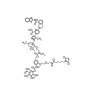 Cc1c(-c2ccc(N3CCc4cccc(C(=O)Nc5nc6ccccc6s5)c4C3)nc2C(=O)O)cnn1CC12CC3(C)CC(C)(C1)CC(OCCN(C)C(=O)OCc1ccc(NC(=O)O[C@@H]4O[C@H](C(=O)O)[C@@H](O)[C@H](O)[C@H]4O)c(OCCOCCNC(=O)CCCCCN4C(=O)C=CC4=O)c1)(C3)C2